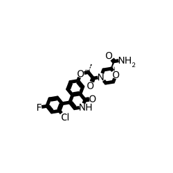 C[C@@H](Oc1ccc2c(-c3ccc(F)cc3Cl)c[nH]c(=O)c2c1)C(=O)N1CCO[C@H](C(N)=O)C1